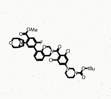 COC(=O)c1cc(F)c(-c2cccc3c2OCN(C(=O)c2c(Cl)cc(N4CCCN(C(=O)OC(C)(C)C)C4)cc2Cl)C3)cc1N1C2CCC1COC2